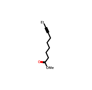 [CH2]CC#CCCCCCC(=O)OC